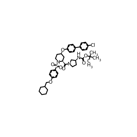 CC(C)(C)OC(=O)N[C@H]1CCN(C(=O)[C@@H]2C[C@H](Oc3ccc(-c4ccc(Cl)cc4)cc3)CCN2S(=O)(=O)c2ccc(OCC3CCCCC3)cc2)C1